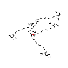 CC(=O)NC1C(OCCOCCOCCOCCn2cc(CN(CCCC[C@@H](C(=O)O)N(Cc3cn(CCOCCOCCOCCOC4OC(CO)C(O)C(O)C4NC(C)=O)nn3)Cc3cn(COCCOCCOCCOC4OC(CO)C(O)C(O)C4NC(C)=O)nn3)Cc3cn(CCOCCOCCOCCOC4OC(CO)C(O)C(O)C4NC(C)=O)nn3)nn2)OC(CO)C(O)C1O